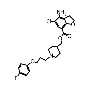 Nc1c(Cl)cc(C(=O)OCC2CCN(CCCOc3ccc(F)cc3)CC2)c2c1CCO2